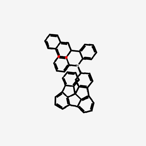 C1=CC(N(c2ccccc2)c2ccccc2C2C=c3ccccc3=CC2)CC2=C1c1cccc3c1C21c2ccccc2-c2cccc-3c21